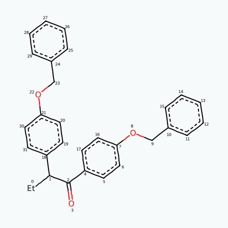 CCC(C(=O)c1ccc(OCc2ccccc2)cc1)c1ccc(OCc2ccccc2)cc1